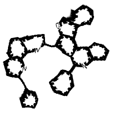 c1ccc(-c2ccc3ccc4ccc(-c5cc6c(-c7ccccc7)nc7ccccc7c6c6c5oc5ccccc56)nc4c3n2)cc1